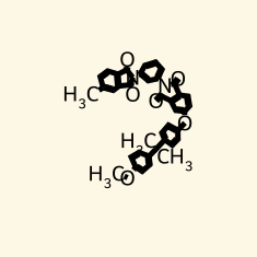 COc1ccc(C(C)(C)c2ccc(Oc3ccc4c(c3)C(=O)N(c3cccc(N5C(=O)c6ccc(C)cc6C5=O)c3)C4=O)cc2)cc1